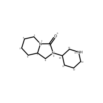 O=C1N2CCCCC2CN1C1CCCNC1